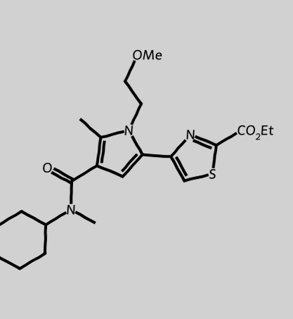 CCOC(=O)c1nc(-c2cc(C(=O)N(C)C3CCCCC3)c(C)n2CCOC)cs1